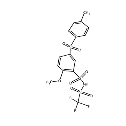 COc1ccc(S(=O)(=O)c2ccc(C)cc2)cc1S(=O)(=O)NS(=O)(=O)C(F)(F)F